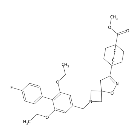 CCOc1cc(CN2CC3(CC(C45CCC(C(=O)OC)(CC4)CC5)=NO3)C2)cc(OCC)c1-c1ccc(F)cc1